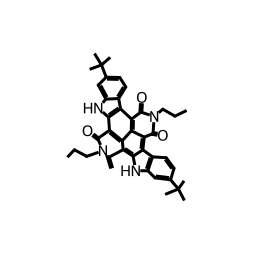 C=c1c2c3[nH]c4cc(C(C)(C)C)ccc4c3c3c4c(c5c6ccc(C(C)(C)C)cc6[nH]c5c(c(=O)n1CCC)c42)C(=O)N(CCC)C3=O